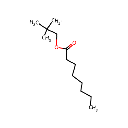 [CH2]C(C)(C)COC(=O)CCCCCCC